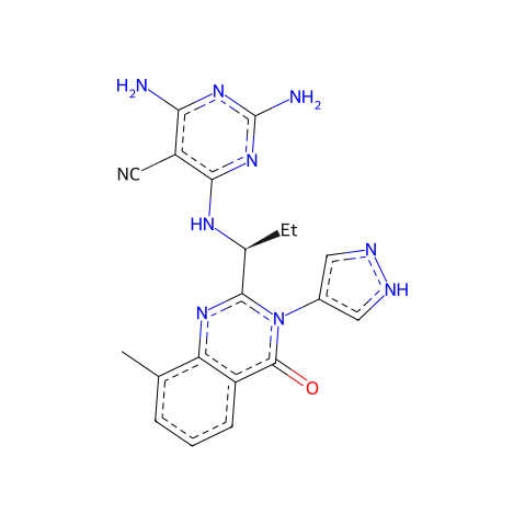 CC[C@H](Nc1nc(N)nc(N)c1C#N)c1nc2c(C)cccc2c(=O)n1-c1cn[nH]c1